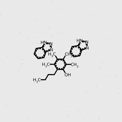 CCCCc1c(C)c(C)c(C)c(C)c1O.c1ccc2[nH]nnc2c1.c1ccc2[nH]nnc2c1